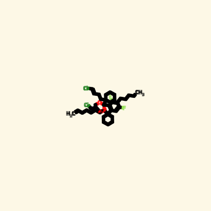 C=CCCCC1COC(c2c(C3(CC/C=C/Cl)CCCCC3)cc(F)c(CCCCC)c2F)(C2(CC/C=C/Cl)CCCCC2)OC1